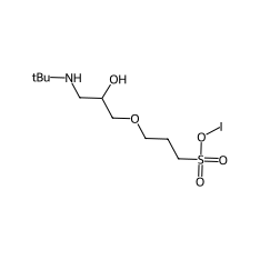 CC(C)(C)NCC(O)COCCCS(=O)(=O)OI